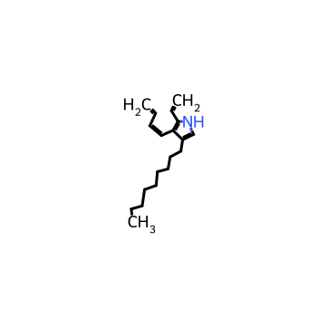 C=C/C=C\c1c(CCCCCCCCC)c[nH]c1C=C